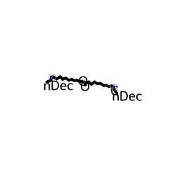 CCCCCCCCCCCC/C=C\CCCCCCCCCOC(=O)CCCCCCCC/C=C\CCCCCCCCCCCC